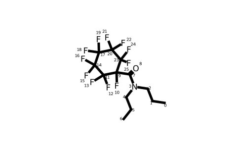 CCCN(CCC)C(=O)C1(F)C(F)(F)C(F)(F)C(F)(F)C(F)(F)C1(F)F